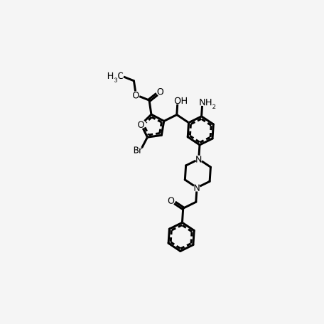 CCOC(=O)c1oc(Br)cc1C(O)c1cc(N2CCN(CC(=O)c3ccccc3)CC2)ccc1N